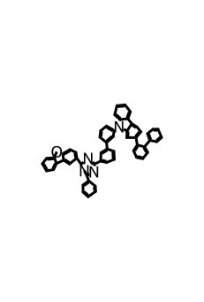 c1ccc(-c2nc(-c3cccc(-c4cccc(-n5c6ccccc6c6ccc(-c7ccccc7-c7ccccc7)cc65)c4)c3)nc(-c3ccc4oc5ccccc5c4c3)n2)cc1